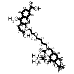 C=N/C=C\c1c(OCCOCCCCN(Cc2cc(F)c(OC(F)(F)F)c(F)c2)C(=O)OC(C)(C)C)nc2cc(C(=O)O)ccc2c1C